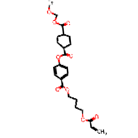 C=CC(=O)OCCCCOC(=O)c1ccc(OC(=O)C2CCC(C(=O)OCOCC)CC2)cc1